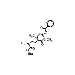 C[C@@H]1C(=O)N(CCN(C)C(=O)OC(C)(C)C)[C@H](C)CN1OC(=O)c1ccccc1